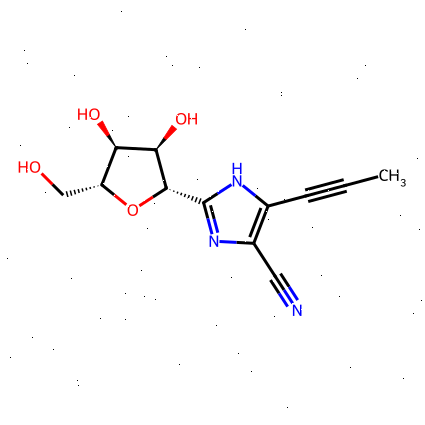 CC#Cc1[nH]c([C@@H]2O[C@H](CO)[C@@H](O)[C@H]2O)nc1C#N